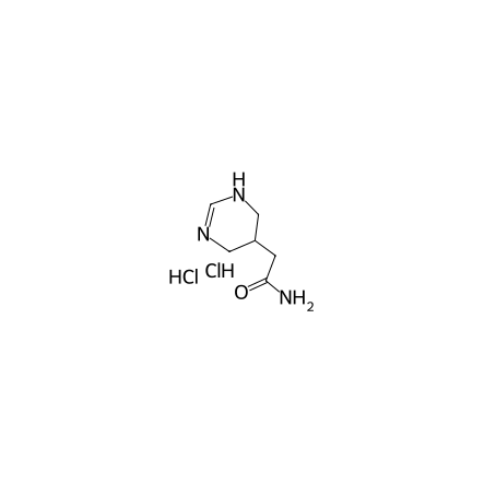 Cl.Cl.NC(=O)CC1CN=CNC1